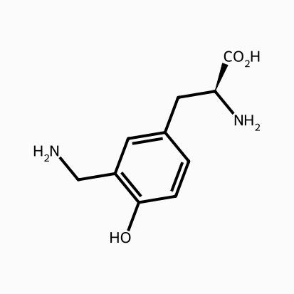 NCc1cc(C[C@H](N)C(=O)O)ccc1O